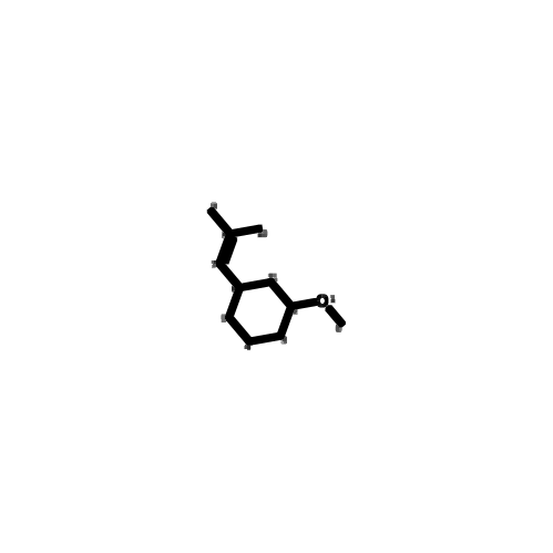 COC1CCCC(C=C(C)C)C1